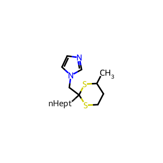 CCCCCCCC1(Cn2ccnc2)SCCC(C)S1